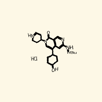 CCCCNc1cc2c(C3CCC(O)CC3)cn(C3CCNCC3)c(=O)c2cn1.Cl